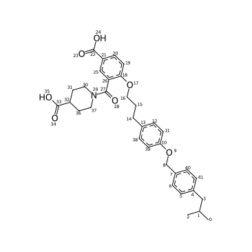 CC(C)Cc1ccc(COc2ccc(CCCOc3ccc(C(=O)O)cc3C(=O)N3CCC(C(=O)O)CC3)cc2)cc1